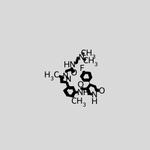 Cc1ccc(-c2cc(C)n(CC(=O)NCCN(C)C)n2)cc1NC(=O)C1=CNC(=O)C[C@H]1c1ccc(F)cc1